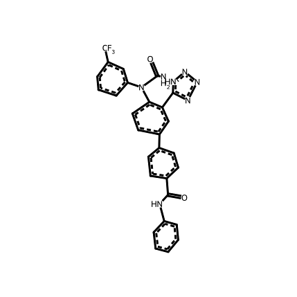 NC(=O)N(c1cccc(C(F)(F)F)c1)c1ccc(-c2ccc(C(=O)Nc3ccccc3)cc2)cc1-c1nnn[nH]1